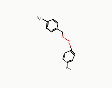 Cc1ccc(COOc2ccc(C)cc2)cc1